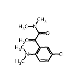 C=C(C(=O)N(C)C)c1cc(Cl)ccc1N(C)C